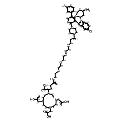 NC1CCN(c2c(-c3cccc(F)c3)cnc(N3CCN(C(=O)CCOCCOCCOCCOCCNC(=O)CCC(C(=O)O)N4CCN(CC(=O)O)CCN(CC(=O)O)CCN(CC(=O)O)CC4)CC3)c2-c2nc3cc(Cl)ccc3[nH]2)CC1